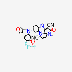 Cn1c(=O)c(C#N)c(N(C)[C@H]2CC[C@@H](N(CC3CCOC3)c3ccc(F)c(OC(F)F)c3)CC2)c2nc(C#N)ccc21